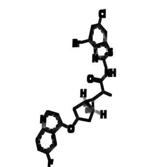 CC(C(=O)Nc1nc2c(Br)cc(Cl)cc2s1)C1[C@H]2CC(Oc3ccnc4ccc(F)cc34)C[C@@H]12